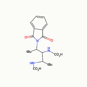 CC(C)(C)C(NC(=O)O)C(NC(=O)O)C(N1C(=O)c2ccccc2C1=O)C(C)(C)C